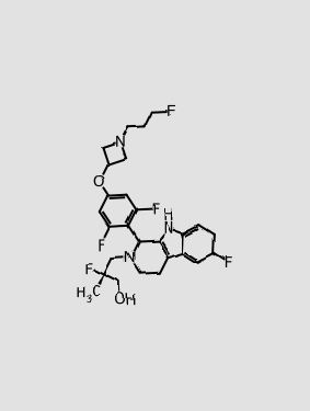 C[C@](F)(CO)CN1CCc2c([nH]c3c2=CC(F)CC=3)C1c1c(F)cc(OC2CN(CCCF)C2)cc1F